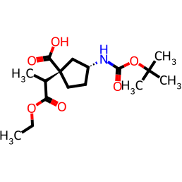 CCOC(=O)C(C)[C@]1(C(=O)O)CC[C@@H](NC(=O)OC(C)(C)C)C1